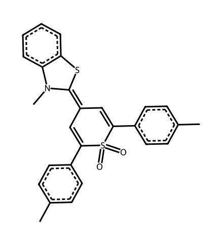 Cc1ccc(C2=CC(=C3Sc4ccccc4N3C)C=C(c3ccc(C)cc3)S2(=O)=O)cc1